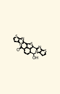 O=c1c2ccc3c4c(sc(c42)c2nc4sccc4n12)-c1nc2sccc2n1C3O